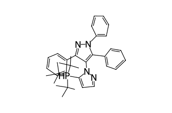 CC(C)(C)[PH](c1ccnn1-c1c(-c2ccccc2)nn(-c2ccccc2)c1-c1ccccc1)(C(C)(C)C)C(C)(C)C